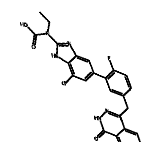 CCN(C(=O)O)c1nc2cc(-c3cc(Cc4n[nH]c(=O)c5ccccc45)ccc3F)cc(Cl)c2[nH]1